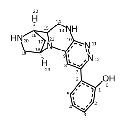 Oc1ccccc1-c1cc2c(nn1)NCC1[C@H]3C[C@H](CN3)N21